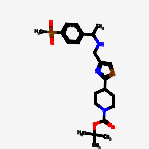 CC(NCc1csc(C2CCN(C(=O)OC(C)(C)C)CC2)n1)c1ccc(S(C)(=O)=O)cc1